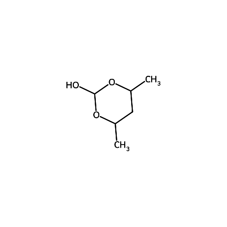 CC1CC(C)OC(O)O1